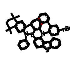 CCCCc1ccc(N2c3cccc4c3B(c3ccc5sc6ccccc6c5c32)N(c2ccccc2)c2cc3c(cc2-4)C(C)(C)CCC3(C)C)c(-c2ccccc2)c1